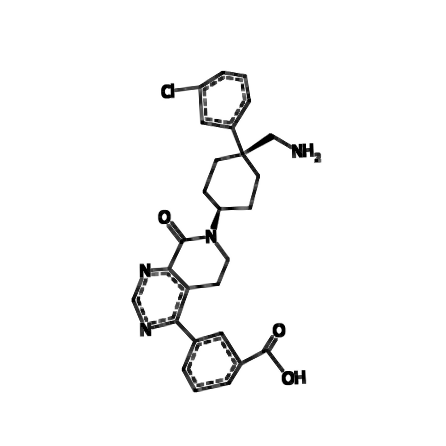 NC[C@]1(c2cccc(Cl)c2)CC[C@H](N2CCc3c(ncnc3-c3cccc(C(=O)O)c3)C2=O)CC1